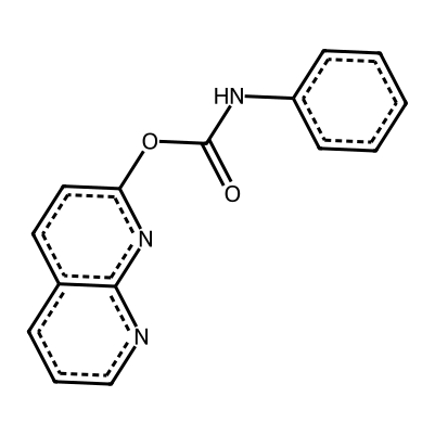 O=C(Nc1ccccc1)Oc1ccc2cccnc2n1